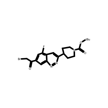 CC(C)(C)OC(=O)N1CCC(c2cc3c(F)cc(C(=O)CBr)cc3nn2)CC1